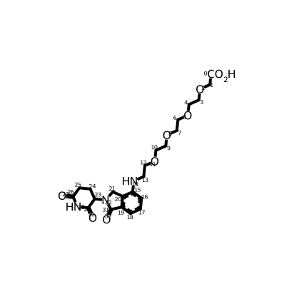 O=C(O)COCCOCCOCCOCCNc1cccc2c1CN(C1CCC(=O)NC1=O)C2=O